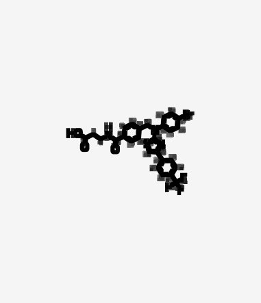 O=C(O)CCNC(=O)c1ccc(CN(c2ccc(Br)cc2)c2nc(-c3ccc(C(F)(F)F)cc3)cs2)cc1